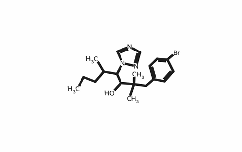 CCCC(C)C(C(O)C(C)(C)Cc1ccc(Br)cc1)n1cncn1